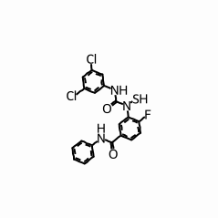 O=C(Nc1ccccc1)c1ccc(F)c(N(S)C(=O)Nc2cc(Cl)cc(Cl)c2)c1